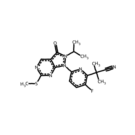 CSc1ncc2c(=O)n(C(C)C)n(-c3ccc(F)c(C(C)(C)C#N)n3)c2n1